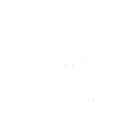 O=S(=O)(Oc1ccc(N(c2ccc(-c3ccc(-n4c5ccccc5c5ccccc54)cc3)cc2)c2ccc(-c3cccc4c3sc3ccccc34)cc2)cc1)C(F)(F)F